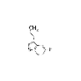 CCCc1csc2ccc(F)cc12